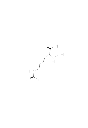 C=C(C)NCCCC[C@H](NC)C(=O)O